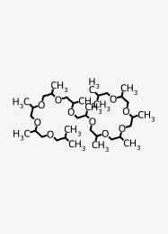 CC(C)COCC(C)OCC(C)OCC(C)OCC(C)OCC(C)OCC(C)OCC(C)OCC(C)OCC(C)OCC(C)C